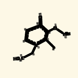 CCCCOc1c(C)n(CC(=O)O)ccc1=O